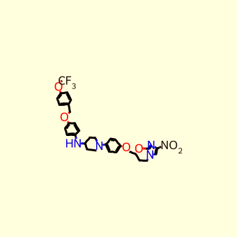 O=[N+]([O-])c1cn2c(n1)OC(COc1ccc(N3CCC(Nc4ccc(OCc5ccc(OC(F)(F)F)cc5)cc4)CC3)cc1)CC2